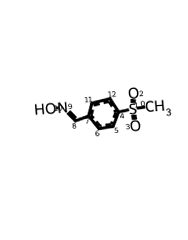 CS(=O)(=O)c1ccc(C=NO)cc1